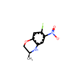 C[C@H]1COc2cc(F)c([N+](=O)[O-])cc2N1